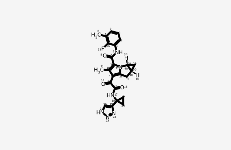 Cc1cccc(NC(=O)c2c(C)c(C(=O)C(=O)NC3(c4c[nH]nn4)CC3)c3n2[C@@H]2C[C@@H]2C3)c1F